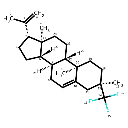 C=C(C)[C@H]1CC[C@H]2[C@@H]3CC=C4C[C@](C)(C(F)(F)F)CC[C@]4(C)[C@H]3CC[C@]12C